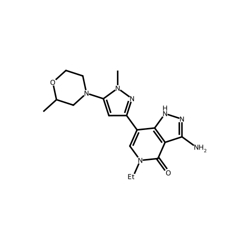 CCn1cc(-c2cc(N3CCOC(C)C3)n(C)n2)c2[nH]nc(N)c2c1=O